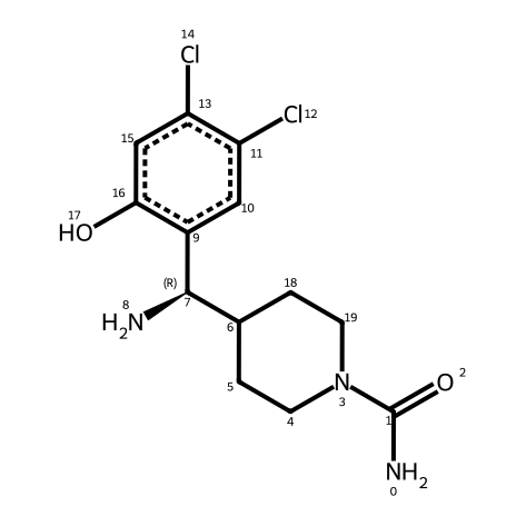 NC(=O)N1CCC([C@@H](N)c2cc(Cl)c(Cl)cc2O)CC1